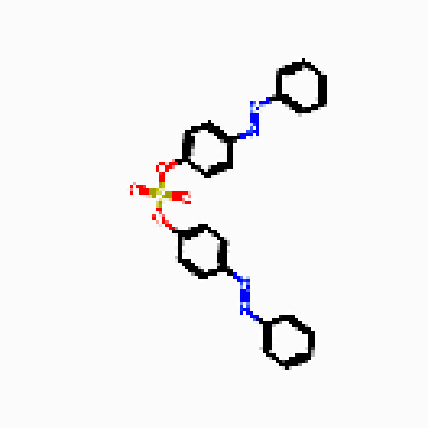 O=S(=O)(Oc1ccc(/N=N/c2ccccc2)cc1)Oc1ccc(/N=N/c2ccccc2)cc1